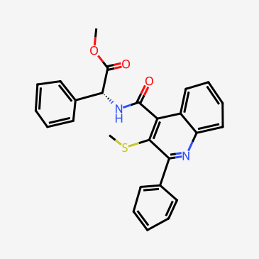 COC(=O)[C@H](NC(=O)c1c(SC)c(-c2ccccc2)nc2ccccc12)c1ccccc1